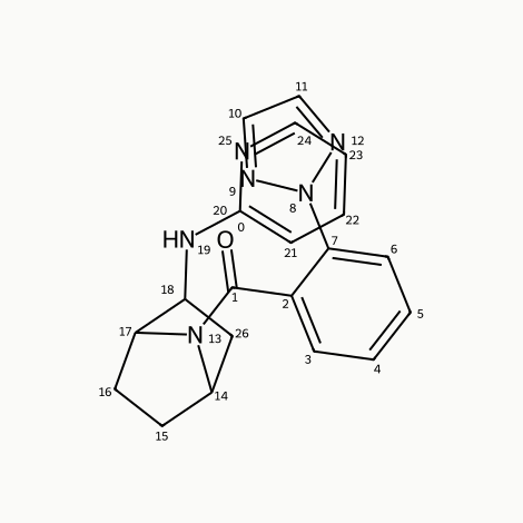 O=C(c1ccccc1-n1nccn1)N1C2CCC1C(Nc1ccccn1)C2